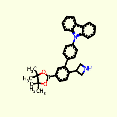 CC1(C)OB(c2ccc(C3CNC3)c(-c3ccc(-n4c5ccccc5c5ccccc54)cc3)c2)OC1(C)C